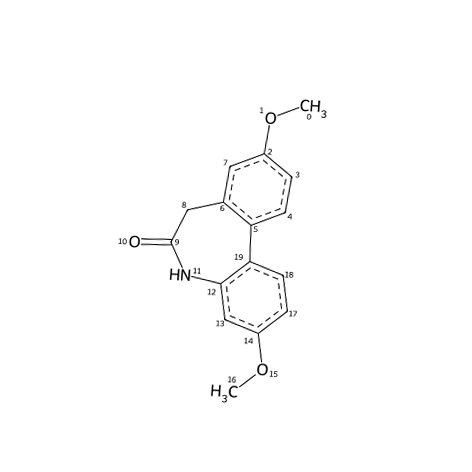 COc1ccc2c(c1)CC(=O)Nc1cc(OC)ccc1-2